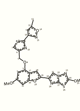 COc1cc(OCc2csc(-c3cc(C)on3)n2)c2cc(-c3cn4nc(OC)sc4n3)oc2c1